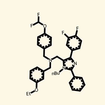 CCCCn1c(-c2ccccc2)nc(-c2ccc(F)c(F)c2)c1CN(Cc1ccc(OC(F)F)cc1)Cc1cccc(OCC)c1